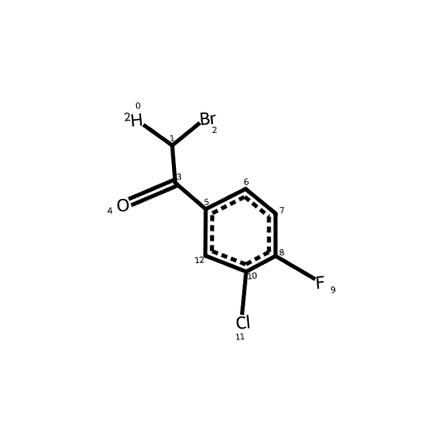 [2H]C(Br)C(=O)c1ccc(F)c(Cl)c1